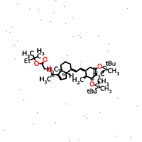 C=C1C(=CC=C2CCC[C@]3(C)C([C@H](C)OCC(=O)OC(C)(C)CC)=CC[C@@H]23)C[C@@H](O[Si](C)(C)C(C)(C)C)C[C@@H]1O[Si](C)(C)C(C)(C)C